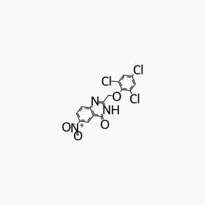 O=c1[nH]c(COc2c(Cl)cc(Cl)cc2Cl)nc2ccc([N+](=O)[O-])cc12